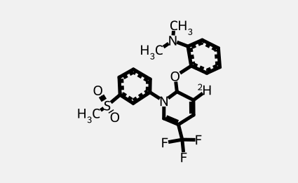 [2H]C1=CC(C(F)(F)F)=CN(c2cccc(S(C)(=O)=O)c2)C1Oc1ccccc1N(C)C